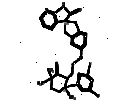 CC1(C)CC[C@@](C)(c2cc(F)cc(F)c2)N(CCOc2ccc3c(c2)C[C@@]2(C3)C(=O)Nc3ncccc32)C1=O